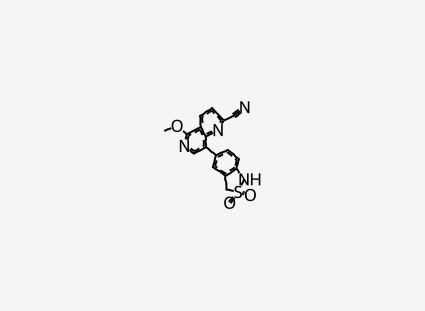 COc1ncc(-c2ccc3c(c2)CS(=O)(=O)N3)c2nc(C#N)ccc12